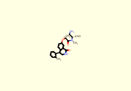 Cc1ccccc1-c1c[nH]c(=O)c2cc(O[C@H](C)C(=O)N(C)[C@@H](C=O)CN)ccc12